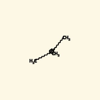 CCCCCCCCCCCN1C=CN(CCCCCCCCCCC)C1C